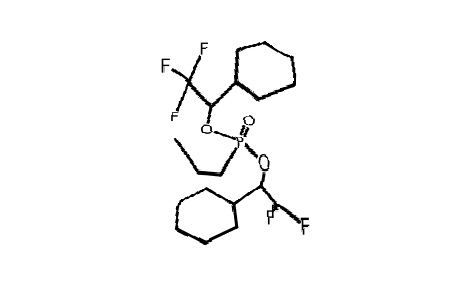 CCCP(=O)(OC(C1CCCCC1)C(F)(F)F)OC(C1CCCCC1)C(F)(F)F